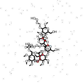 CCC1(C(=O)O)O[C@@H](O[C@@H]2C(CO)O[C@@H](O[C@H]3C(OC)[C@H]4OCC3(C(=O)O)O[C@H]4O[C@@H]3C(CO)O[C@H](OC)C(OSOOO)[C@H]3OC)C(OSOOO)[C@H]2OSOOO)C(OC)[C@@H](OC)[C@@H]1O[C@@H]1CC(COS(=O)(=O)O)[C@@H](OC)[C@H](OC)C1OC